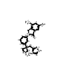 CC(=O)c1cc2c(c(C(F)(F)F)c1)CN(c1cccc(C3(Cc4nncn4C)COC3)c1)C2=O